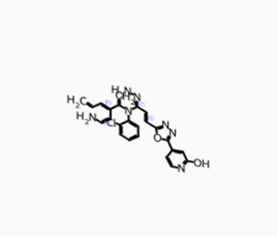 C=C/C=C(\C=C/N)C(=C)N(C(/C=C/c1nnc(-c2ccnc(O)c2)o1)=N\N)c1ccccc1Cl